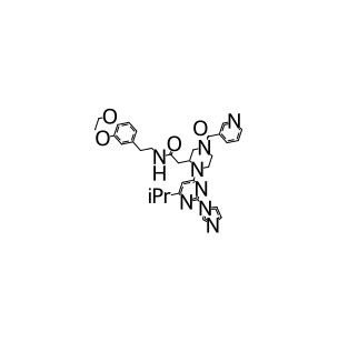 CC(C)c1cc(N2CCN(C(=O)c3cccnc3)CC2CC(=O)NCCc2ccc3c(c2)OCCO3)nc(-n2ccnc2)n1